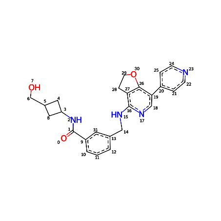 O=C(NC1CC(CO)C1)c1cccc(CNc2ncc(-c3ccncc3)c3c2CCO3)c1